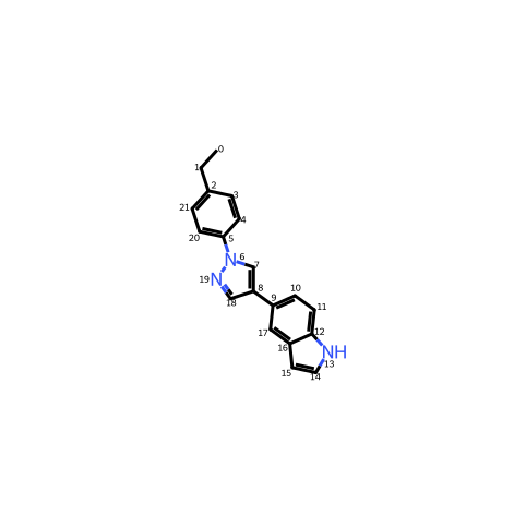 CCc1ccc(-n2cc(-c3ccc4[nH]ccc4c3)cn2)cc1